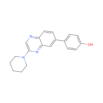 Oc1ccc(-c2ccc3ncc(N4CCCCC4)nc3c2)cc1